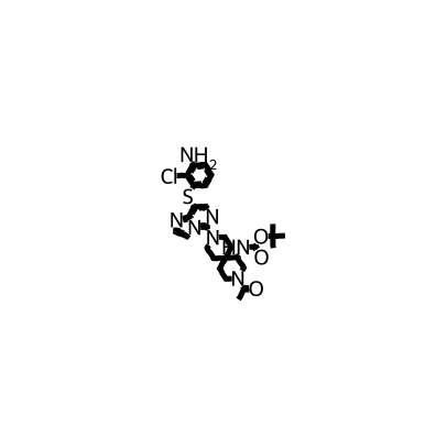 CC(=O)N1CCC2(CCN(c3ncc(Sc4cccc(N)c4Cl)c4nccn34)CC2)C(NC(=O)OC(C)(C)C)C1